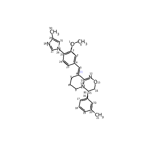 COc1cc(/C=C2\CCCN3C2=NOC[C@H]3c2cccc(C)c2)ccc1-n1cnc(C)c1